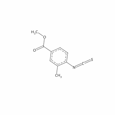 COC(=O)c1ccc(N=C=S)c(C)c1